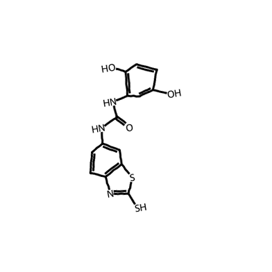 O=C(Nc1ccc2nc(S)sc2c1)Nc1cc(O)ccc1O